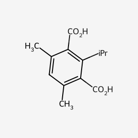 Cc1cc(C)c(C(=O)O)c(C(C)C)c1C(=O)O